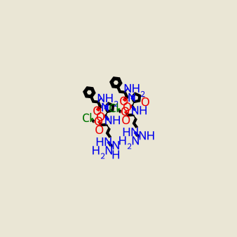 C=O.N=C(N)NCCC[C@H](NC(=O)[C@@H]1CCCN1C(=O)[C@H](N)Cc1ccccc1)C(=O)OCCl.N=C(N)NCCC[C@H](NC(=O)[C@@H]1CCCN1C(=O)[C@H](N)Cc1ccccc1)C(=O)OCCl